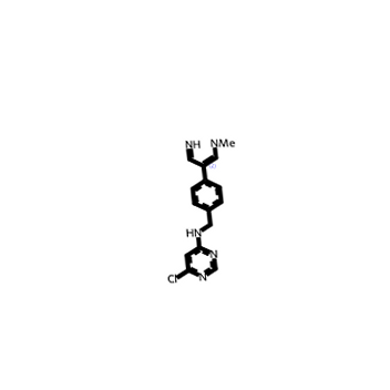 CN/C=C(\C=N)c1ccc(CNc2cc(Cl)ncn2)cc1